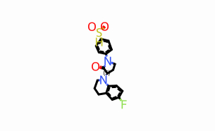 O=C1[C@@H](N2CCCc3cc(F)ccc32)CCN1c1ccc([SH](=O)=O)cc1